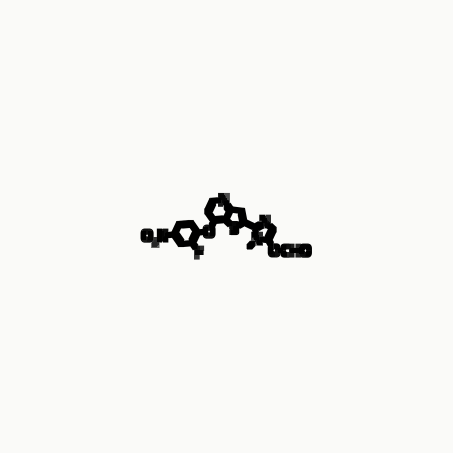 Cn1c(OC=O)cnc1-c1cc2nccc(Oc3ccc([N+](=O)[O-])cc3F)c2s1